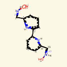 O/N=C\c1cccc(-c2cccc(/C=N\O)n2)n1